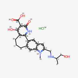 CC(CO)NCc1cc2cc3c(cc2n1C)CCCc1c-3[nH]c(=O)c(C(=O)O)c1O.Cl